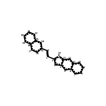 C(=C\c1cc2cc3ccccc3cc2s1)/c1ccc2ccccc2c1